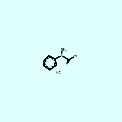 Cl.NN(C(=O)O)c1ccccc1